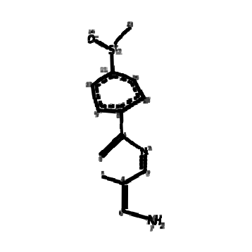 C=C(/N=C\C(C)=C/N)c1ccc([S+](C)[O-])cc1